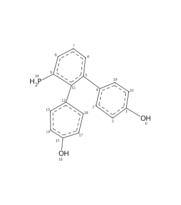 Oc1ccc(-c2cccc(P)c2-c2ccc(O)cc2)cc1